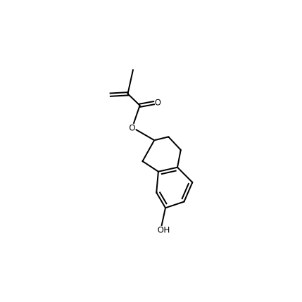 C=C(C)C(=O)OC1CCc2ccc(O)cc2C1